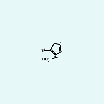 CC(=O)O.[Ti][C]1=CC=CC1